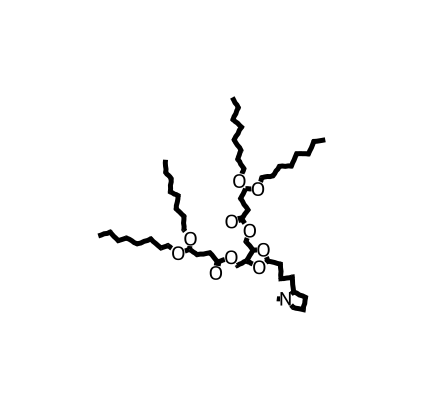 CCCCCCCCOC(CCC(=O)OCC1OC(CCCC2CCCN2C)OC1COC(=O)CCC(OCCCCCCCC)OCCCCCCCC)OCCCCCCCC